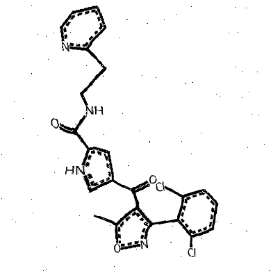 Cc1onc(-c2c(Cl)cccc2Cl)c1C(=O)c1c[nH]c(C(=O)NCCc2ccccn2)c1